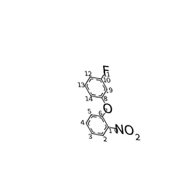 O=[N+]([O-])c1ccccc1Oc1[c]c(F)ccc1